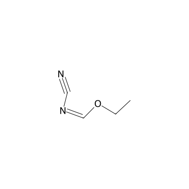 CCO/C=N\C#N